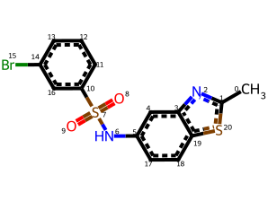 Cc1nc2cc(NS(=O)(=O)c3cccc(Br)c3)ccc2s1